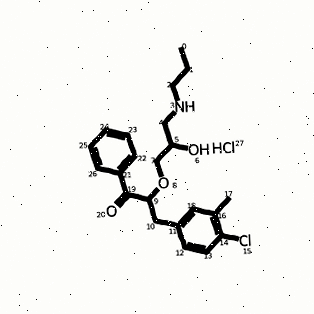 CCCNCC(O)COC(Cc1ccc(Cl)c(C)c1)C(=O)c1ccccc1.Cl